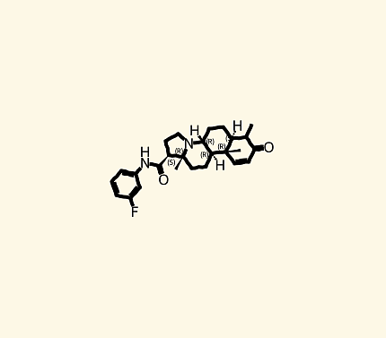 CC1C(=O)C=C[C@@]2(C)[C@H]1CC[C@@H]1[C@@H]2CC[C@]2(C)[C@@H](C(=O)Nc3cccc(F)c3)CCN12